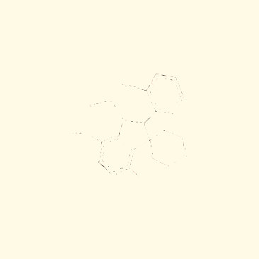 COc1ccc(Cl)c2c1N(CC(C)(C)C)C(c1ccccc1Br)C21CCNCC1